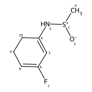 C[S+]([O-])NC1=CC(F)=CCC1